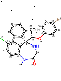 CN1C(=O)CN[C@](c2ccccc2)([C@H](Oc2ccc(Br)cc2)C(=O)O)c2cc(Cl)ccc21